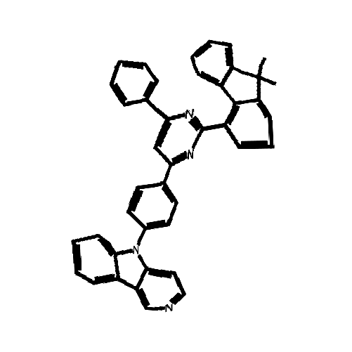 CC1(C)c2ccccc2-c2c(-c3nc(-c4ccccc4)cc(-c4ccc(-n5c6ccccc6c6cnccc65)cc4)n3)cccc21